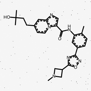 Cc1ccc(-c2noc(C3CN(C)C3)n2)cc1NC(=O)c1cnc2cc(CCC(C)(C)O)ccn12